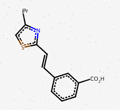 CC(C)c1csc(C=Cc2cccc(C(=O)O)c2)n1